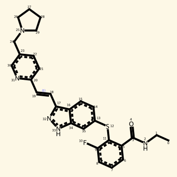 CCNC(=O)c1cccc(F)c1Sc1ccc2c(/C=C/c3ccc(CN4CCCC4)cn3)n[nH]c2c1